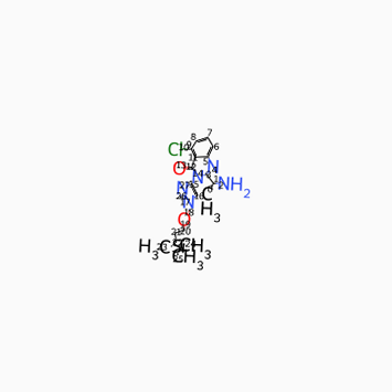 C[C@H](N)c1nc2cccc(Cl)c2c(=O)n1-c1cn(COCC[Si](C)(C)C)cn1